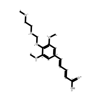 COCCOCOc1c(OC)cc(C=CC=CC(=O)O)cc1OC